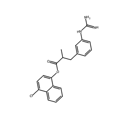 CC(Cc1cccc(NC(=N)N)c1)C(=O)Oc1ccc(Cl)c2ccccc12